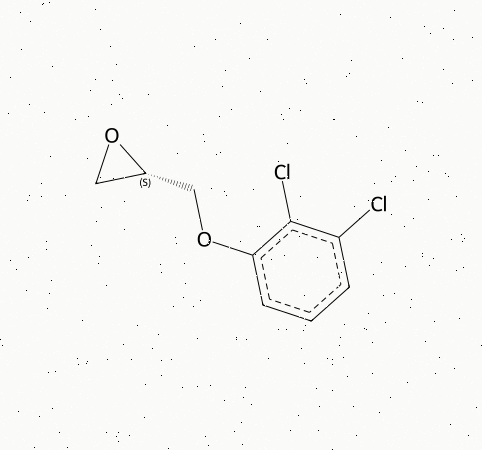 Clc1cccc(OC[C@@H]2CO2)c1Cl